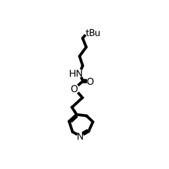 CC(C)(C)CCCCNC(=O)OCCC1=CCN=CCC1